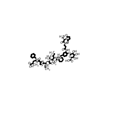 CCO[C@H](C[C@H](C(C)C)N(C)C(=O)[C@@H](NC(=O)[C@H]1CCCC[N+]1(C)Cc1ccc(OC2O[C@H](C(=O)O)[C@@H](O)[C@H](O)[C@H]2O)c(NC(=O)CCNC(=O)[C@H](CN)N2C(=O)C=CC2=O)c1)[C@@H](C)CC)c1nc(C(=O)N[C@@H](Cc2ccccc2)C[C@H](C)C(=O)O)cs1